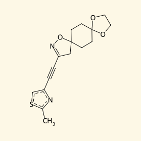 Cc1nc(C#CC2=NOC3(CCC4(CC3)OCCO4)C2)cs1